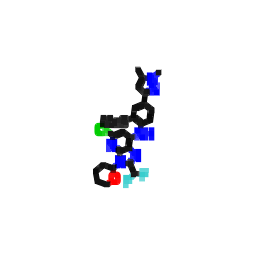 CSc1cc(-c2cc(C)n(C)n2)ccc1Nc1cc(Cl)nc2c1nc(C(F)F)n2C1CCCCO1